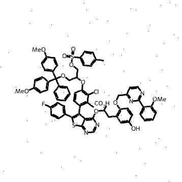 COc1ccc(C(OCC(COS(=O)(=O)c2ccc(C)cc2)Oc2ccc(-c3c(-c4ccc(F)cc4)sc4ncnc(OC(Cc5cc(O)ccc5OCc5ccnc(-c6ccccc6OC)n5)C(=O)O)c34)c(C)c2Cl)(c2ccccc2)c2ccc(OC)cc2)cc1